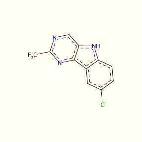 FC(F)(F)c1ncc2[nH]c3ccc(Cl)cc3c2n1